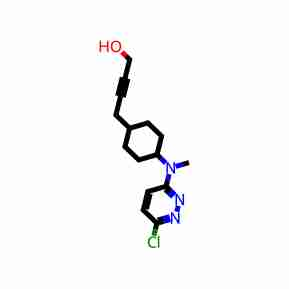 CN(c1ccc(Cl)nn1)C1CCC(CC#CCO)CC1